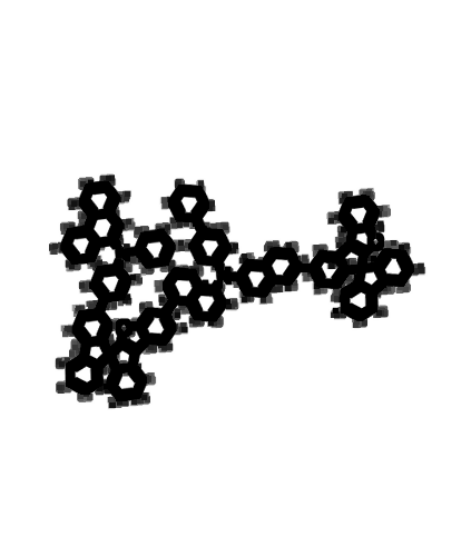 c1ccc(-c2ccc(N(c3ccc4cc(-c5ccc6c(c5)-c5c(oc7ccccc57)C65c6ccccc6-c6ccccc65)ccc4c3)c3cccc4c(-c5ccc6c7c(oc6c5)C5(c6ccccc6-c6ccc(-c8ccc(N(c9ccccc9)c9cc%10ccccc%10c%10ccccc9%10)cc8)cc65)c5ccccc5-7)cccc34)cc2)cc1